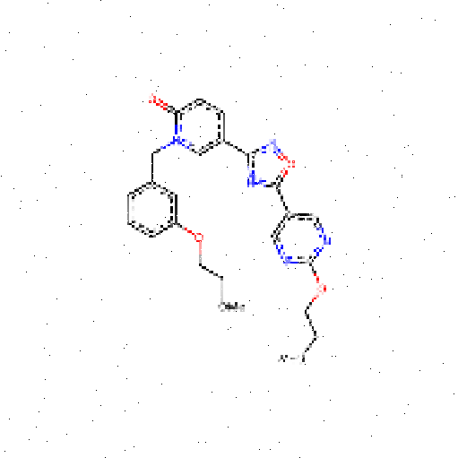 COCCOc1cccc(Cn2cc(-c3noc(-c4cnc(OCCOC)nc4)n3)ccc2=O)c1